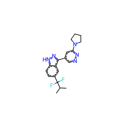 CC(C)C(F)(F)c1ccc2[nH]nc(-c3cnnc(N4CCCC4)c3)c2c1